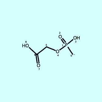 [CH2]P(=O)(O)OCC(=O)O